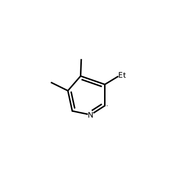 CCc1[c]ncc(C)c1C